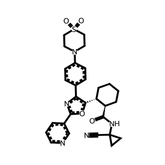 N#CC1(NC(=O)[C@@H]2CCCC[C@H]2c2oc(-c3cccnc3)nc2-c2ccc(N3CCS(=O)(=O)CC3)cc2)CC1